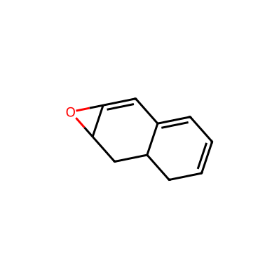 C1=CCC2CC3OC3=CC2=C1